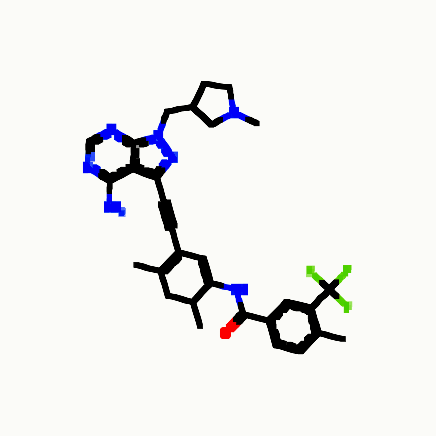 CC1=C(C#Cc2nn(CC3CCN(C)C3)c3ncnc(N)c23)C=C(NC(=O)c2ccc(C)c(C(F)(F)F)c2)C(C)C1